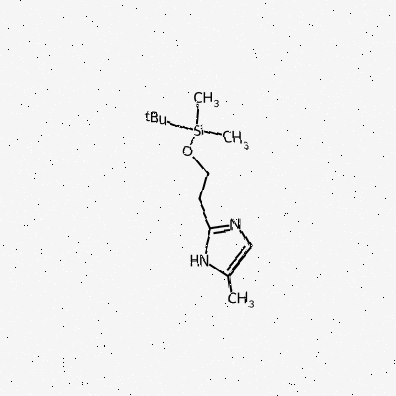 Cc1cnc(CCO[Si](C)(C)C(C)(C)C)[nH]1